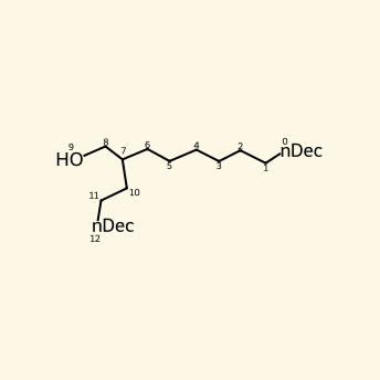 CCCCCCCCCCCCCCCCC(CO)CCCCCCCCCCCC